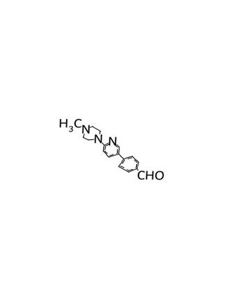 CN1CCN(c2ccc(-c3ccc(C=O)cc3)cn2)CC1